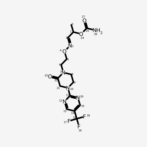 CC(C=NOCCN1CCN(c2ncc(C(F)(F)F)cn2)CC1=O)OC(N)=O